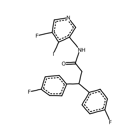 O=C(CC(c1ccc(F)cc1)c1ccc(F)cc1)Nc1cncc(F)c1I